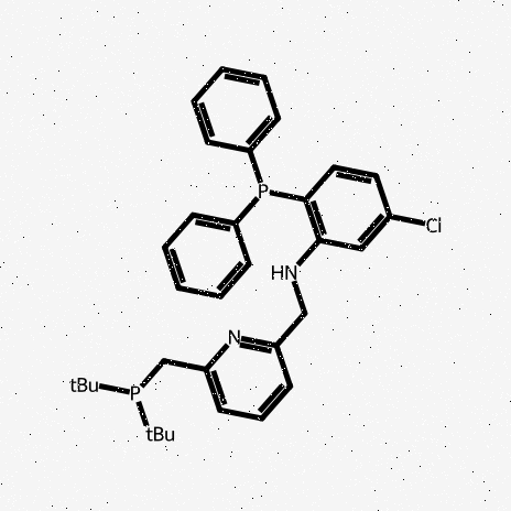 CC(C)(C)P(Cc1cccc(CNc2cc(Cl)ccc2P(c2ccccc2)c2ccccc2)n1)C(C)(C)C